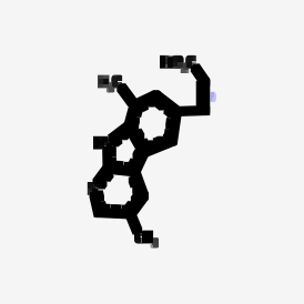 CCOC(=O)/C=C\c1cc(C)c2[nH]c3ncc(C)cc3c2c1